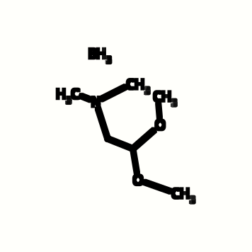 B.COC(CN(C)C)OC